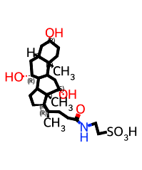 C[C@H](CCC(=O)NCCS(=O)(=O)O)[C@H]1CCC2C3C(C[C@H](O)[C@@]21C)[C@@]1(C)CC[C@@H](O)C[C@H]1C[C@H]3O